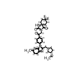 CO[C@H]1CCN(Cc2nc3ccc(C)nc3n2-c2ccc(C(=O)CN3C(=O)NC4(CCC(F)(F)CC4)C3=O)cc2)C1